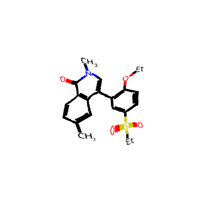 CCOc1ccc(S(=O)(=O)CC)cc1-c1cn(C)c(=O)c2ccc(C)cc12